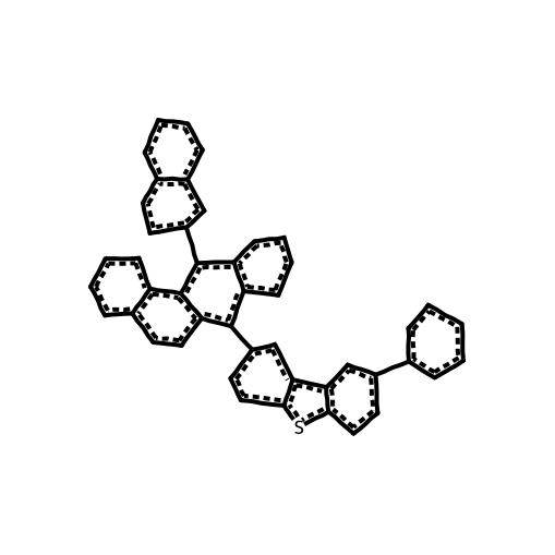 c1ccc(-c2ccc3sc4ccc(-c5c6ccccc6c(-c6ccc7ccccc7c6)c6c5ccc5ccccc56)cc4c3c2)cc1